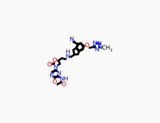 Cn1nnc(COc2cc(C#N)c3c(c2)CC(CNCCC2CN(c4cnc5c(n4)NC(=O)CO5)C(=O)O2)C3)n1